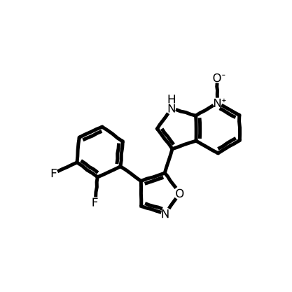 [O-][n+]1cccc2c(-c3oncc3-c3cccc(F)c3F)c[nH]c21